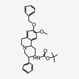 COc1cc2c(cc1OCc1ccccc1)CCN1CC(c3ccccc3)C(NC(=O)OC(C)(C)C)CC21